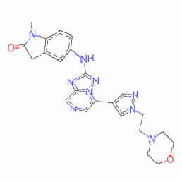 CN1C(=O)Cc2cc(Nc3nc4cncc(-c5cnn(CCN6CCOCC6)c5)n4n3)ccc21